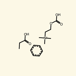 CCC(=O)O.C[N+](C)(C)CCOC(=O)O.c1ccccc1